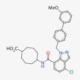 COc1cccc(-c2ccc(Cn3ncc4c(Cl)ccc(C(=O)NC5CCCC(C(=O)O)CCC5)c43)cc2)c1